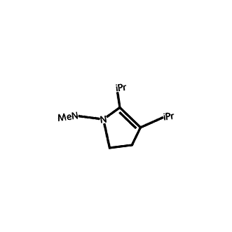 CNN1CCC(C(C)C)=C1C(C)C